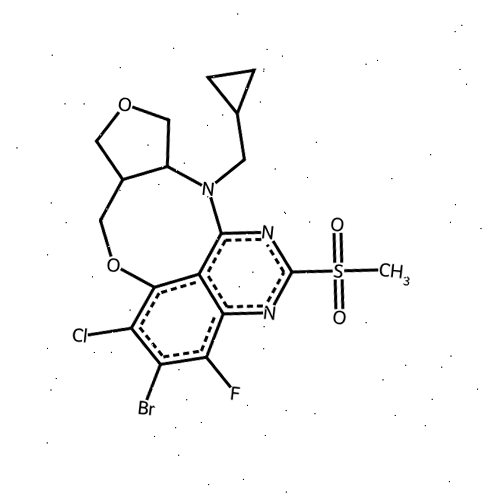 CS(=O)(=O)c1nc2c3c(c(Cl)c(Br)c(F)c3n1)OCC1COCC1N2CC1CC1